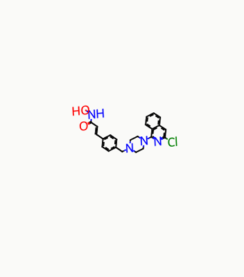 O=C(C=Cc1ccc(CN2CCN(c3nc(Cl)cc4ccccc34)CC2)cc1)NO